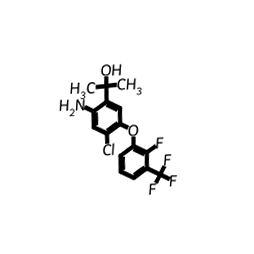 CC(C)(O)c1cc(Oc2cccc(C(F)(F)F)c2F)c(Cl)cc1N